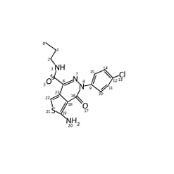 CCCNC(=O)c1nn(-c2ccc(Cl)cc2)c(=O)c2c(N)scc12